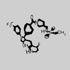 C=CS(=O)(=O)NCC1CCN(C(=O)c2ccc(C3C(CC4CNCCC4F)C(O)CN3c3ccc(C(F)(F)F)cc3)cc2)C1